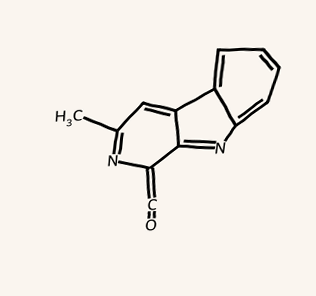 Cc1cc2c(c(=C=O)n1)=Nc1ccccc1-2